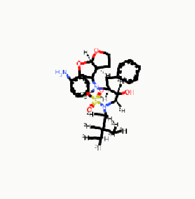 [2H][C@@H](N(C([2H])([2H])C([2H])(C([2H])([2H])[2H])C([2H])([2H])[2H])S(=O)(=O)c1ccc(N)cc1)[C@@]([2H])(O)[C@]([2H])(Cc1ccccc1)N(C(=O)O)C1CO[C@H]2OCC[C@@H]12